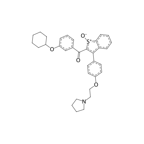 O=C(c1cccc(OC2CCCCC2)c1)c1c(-c2ccc(OCCN3CCCC3)cc2)c2ccccc2[s+]1[O-]